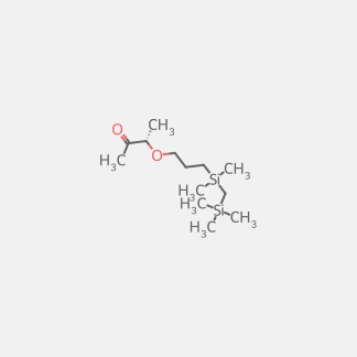 CC(=O)[C@H](C)OCCC[Si](C)(C)C[Si](C)(C)C